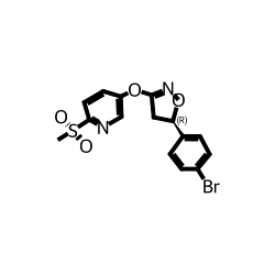 CS(=O)(=O)c1ccc(OC2=NO[C@@H](c3ccc(Br)cc3)C2)cn1